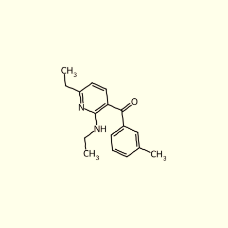 CCNc1nc(CC)ccc1C(=O)c1cccc(C)c1